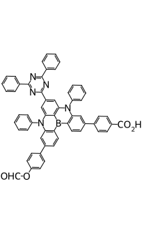 O=COc1ccc(-c2ccc3c(c2)N(c2ccccc2)c2cc(-c4nc(-c5ccccc5)nc(-c5ccccc5)n4)cc4c2B3c2ccc(-c3ccc(C(=O)O)cc3)cc2N4c2ccccc2)cc1